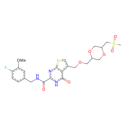 COc1cc(CNC(=O)c2nc3scc(COCC4COC(CS(C)(=O)=O)CO4)c3c(=O)[nH]2)ccc1F